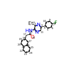 CCc1nc(-c2ccc(F)cc2)cnc1NC(=O)Cc1ccc2ccccc2c1